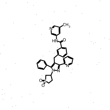 Cc1cncc(NC(=O)c2cccc(Cc3c(-c4ccccn4)nn(C4CCS(=O)(=O)C4)c3-c3ccccc3)c2)c1